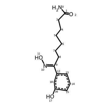 NC(=O)CCCCCCC(=NO)c1cccc(O)c1